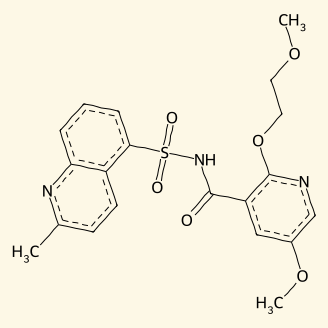 COCCOc1ncc(OC)cc1C(=O)NS(=O)(=O)c1cccc2nc(C)ccc12